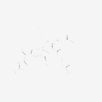 CC/C=C(\C(=O)N[C@@H]1C(=O)N2C(C(=O)OCOC(=O)C(C)(C)C)=C(COC(N)=O)CS[C@H]12)c1csc(N)n1.O.[Cl-].[H+]